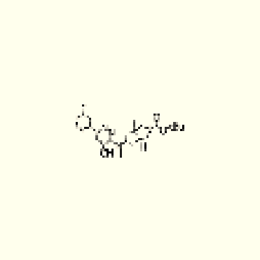 Cc1ccc(F)cc1-c1cc(C#N)c(N[C@H]2C[C@@H]3CN(C(=O)OC(C)(C)C)C[C@@H]3C2)nn1